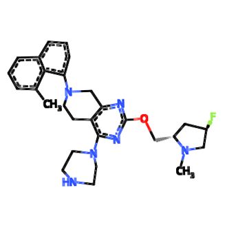 Cc1cccc2cccc(N3CCc4c(nc(OC[C@@H]5C[C@@H](F)CN5C)nc4N4CCNCC4)C3)c12